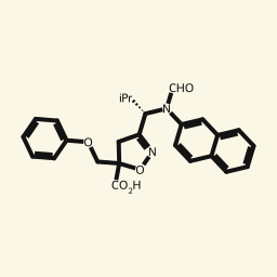 CC(C)[C@@H](C1=NOC(COc2ccccc2)(C(=O)O)C1)N(C=O)c1ccc2ccccc2c1